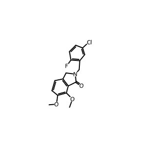 COc1ccc2c(c1OC)C(=O)N(Cc1cc(Cl)ccc1F)C2